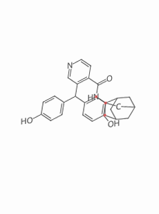 O=C(NC12CC3CC(CC1C3)C2)c1ccncc1C(c1ccc(O)cc1)c1ccc(O)cc1